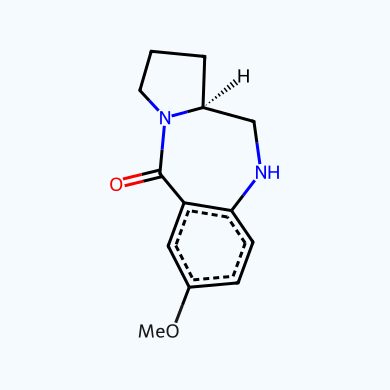 COc1ccc2c(c1)C(=O)N1CCC[C@H]1CN2